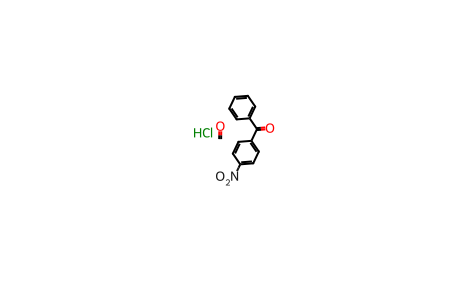 C=O.Cl.O=C(c1ccccc1)c1ccc([N+](=O)[O-])cc1